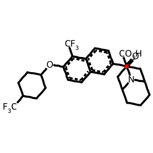 O=C(O)C1CC2CCCC(C1)N2C(=O)c1ccc2c(C(F)(F)F)c(OC3CCC(C(F)(F)F)CC3)ccc2c1